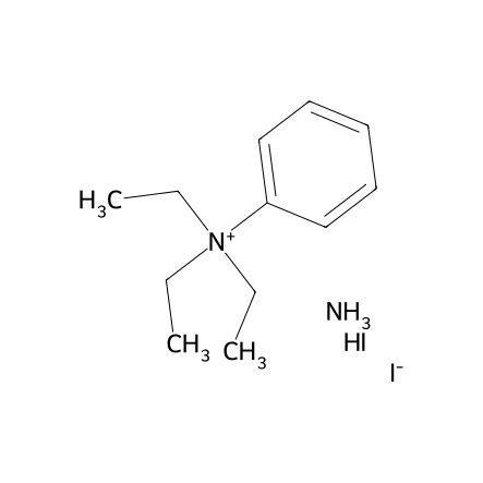 CC[N+](CC)(CC)c1ccccc1.I.N.[I-]